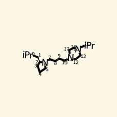 CC(C)C[C@@H]1CCCN1CCCCN1CCN(C(C)C)CC1